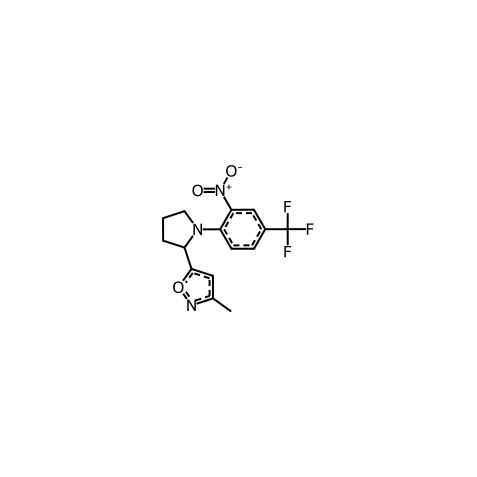 Cc1cc(C2CCCN2c2ccc(C(F)(F)F)cc2[N+](=O)[O-])on1